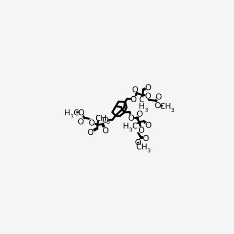 COC(=O)COC(C)(C=O)C(=O)OCC12CC3CC(COC(=O)C(C)(C=O)OCC(=O)OC)(C1)CC(COC(=O)C(C)(C=O)OCC(=O)OC)(C3)C2